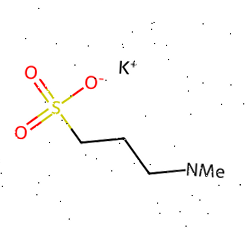 CNCCCS(=O)(=O)[O-].[K+]